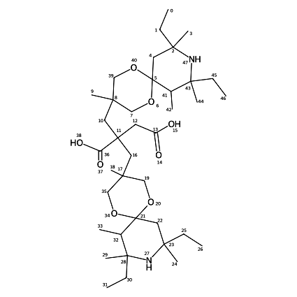 CCC1(C)CC2(OCC(C)(CC(CC(=O)O)(CC3(C)COC4(CC(C)(CC)NC(C)(CC)C4C)OC3)C(=O)O)CO2)C(C)C(C)(CC)N1